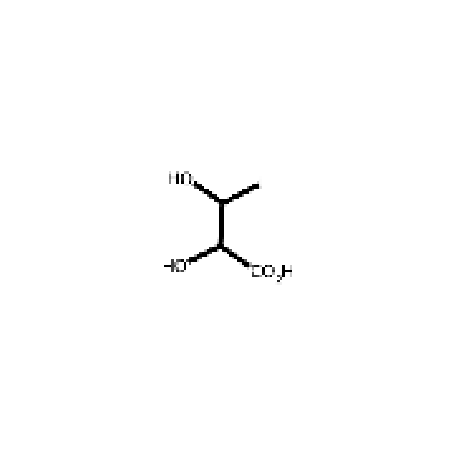 O=C(O)C(O)C(O)I